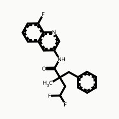 CC(Cc1ccccc1)(CC(F)F)C(=O)Nc1cnc2c(F)cccc2c1